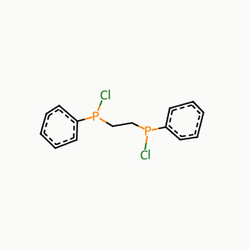 ClP(CCP(Cl)c1ccccc1)c1ccccc1